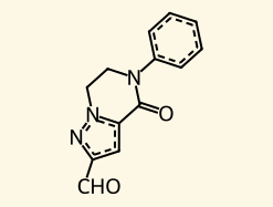 O=Cc1cc2n(n1)CCN(c1ccccc1)C2=O